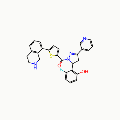 O=C(c1ccc(-c2cccc3c2CNCC3)s1)N1N=C(c2cccnc2)CC1c1c(O)cccc1F